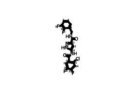 O=C(NCc1cccc(F)c1F)c1cc(NC(=O)c2cc(F)c(F)cc2Cl)[nH]n1